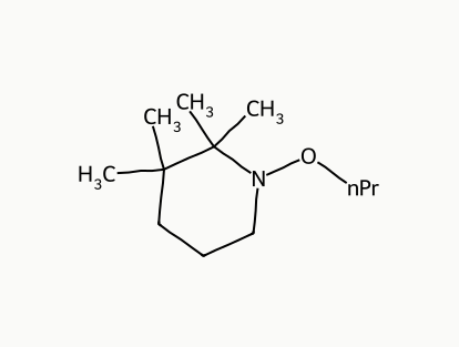 CCCON1CCCC(C)(C)C1(C)C